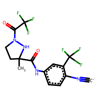 [C-]#[N+]c1ccc(NC(=O)C2(C)CCN(C(=O)C(F)(F)F)N2)cc1C(F)(F)F